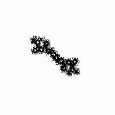 CC(C)(C)c1cc(-n2c3ccccc3c3ccc(N(c4ccccc4)c4ccc5c(c4)sc4cc6cc7c(cc6cc45)sc4cc(N(c5ccccc5)c5ccc6c8ccccc8n(-c8cc(C(C)(C)C)cc(C(C)(C)C)c8)c6c5)ccc47)cc32)cc(C(C)(C)C)c1